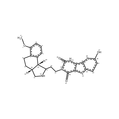 COc1cccc2c1CC[C@H]1CNC(CCn3c(=O)[nH]c4c(sc5ccc(O)nc54)c3=O)[C@@H]21